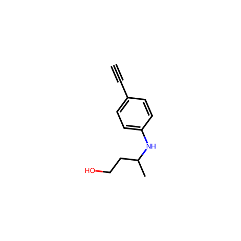 C#Cc1ccc(NC(C)CCO)cc1